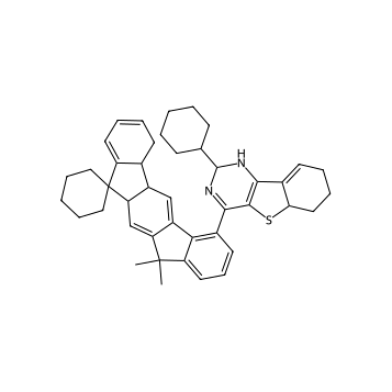 CC1(C)C2=CC3C(C=C2c2c(C4=NC(C5CCCCC5)NC5=C4SC4CCCC=C54)cccc21)C1CC=CC=C1C31CCCCC1